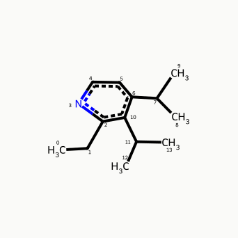 CCc1nccc(C(C)C)c1C(C)C